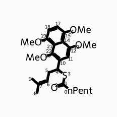 CCCCCC(=O)SC(CC=C(C)C)c1cc(OC)c2c(OC)ccc(OC)c2c1OC